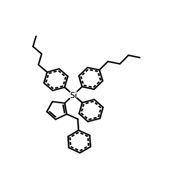 CCCCc1ccc([Si](C2=C(Cc3ccccc3)C=CC2)(c2ccccc2)c2ccc(CCCC)cc2)cc1